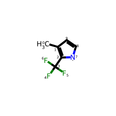 CC1=C(C(F)(F)F)[N][C]=C1